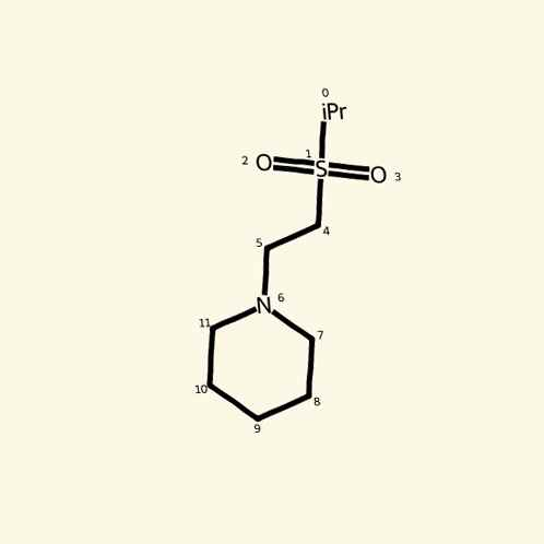 CC(C)S(=O)(=O)CCN1CCCCC1